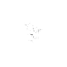 CC(C)NC(=O)NC1(CN(C)C)CCN(C)CC1